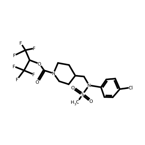 CS(=O)(=O)N(CC1CCN(C(=O)OC(C(F)(F)F)C(F)(F)F)CC1)c1ccc(Cl)cc1